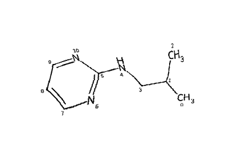 CC(C)CNc1n[c]ccn1